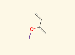 C=CC(=C)OI